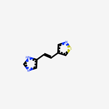 C(=Cc1cnc[nH]1)c1cnsc1